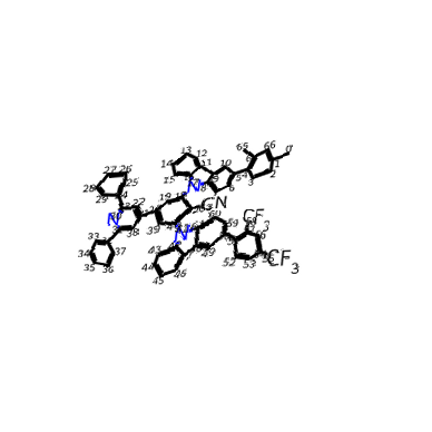 Cc1ccc(-c2ccc3c(c2)c2ccccc2n3-c2cc(-c3cc(-c4ccccc4)nc(-c4ccccc4)c3)cc(-n3c4ccccc4c4cc(-c5ccc(C(F)(F)F)cc5C(F)(F)F)ccc43)c2C#N)c(C)c1